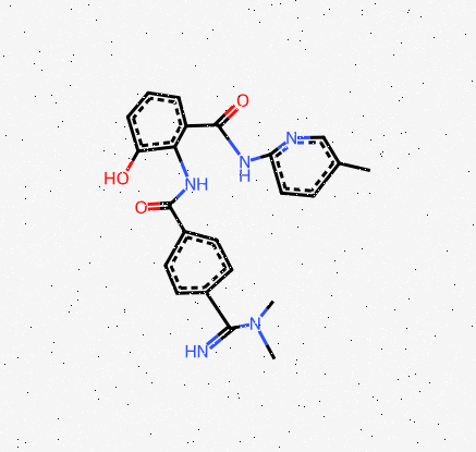 Cc1ccc(NC(=O)c2cccc(O)c2NC(=O)c2ccc(C(=N)N(C)C)cc2)nc1